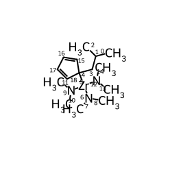 CC(C)C[C]1([Zr]([N](C)C)([N](C)C)[N](C)C)C=CC=C1